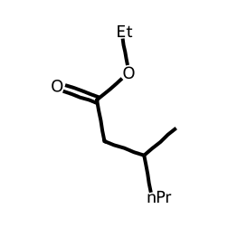 CCCC(C)CC(=O)OCC